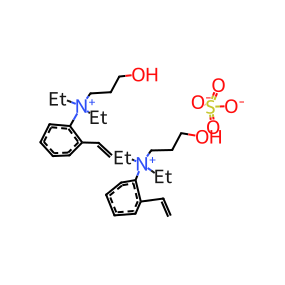 C=Cc1ccccc1[N+](CC)(CC)CCCO.C=Cc1ccccc1[N+](CC)(CC)CCCO.O=S(=O)([O-])[O-]